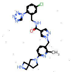 Cc1nc(N2CCC3(CNC3)C2)ccc1Cn1cc(C(=O)NCc2cc(Cl)ccc2-n2cnnn2)cn1